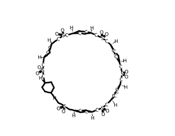 O=S1(=O)C[C@H]2CC[C@H](CC2)CS(=O)(=O)C[C@H]2CC[C@H](CC2)CS(=O)(=O)C[C@H]2CC[C@H](CC2)CS(=O)(=O)C[C@H]2CC[C@H](CC2)CS(=O)(=O)C[C@H]2CC[C@H](CC2)CS(=O)(=O)C[C@H]2CC[C@H](CC2)C1